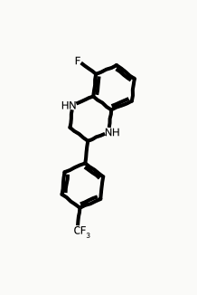 Fc1cccc2c1NCC(c1ccc(C(F)(F)F)cc1)N2